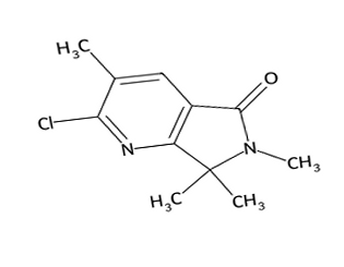 Cc1cc2c(nc1Cl)C(C)(C)N(C)C2=O